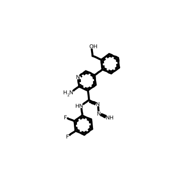 N=N/N=C(\Nc1cccc(F)c1F)c1cc(-c2ccccc2CO)cnc1N